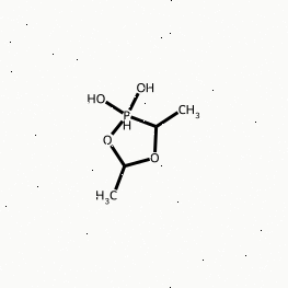 CC1OC(C)[PH](O)(O)O1